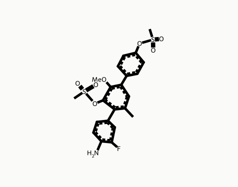 COc1c(-c2ccc(OS(C)(=O)=O)cc2)cc(C)c(-c2ccc(N)c(F)c2)c1OS(C)(=O)=O